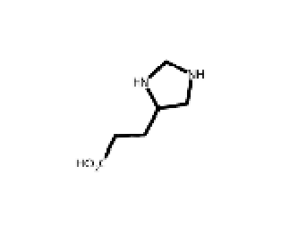 O=C(O)CCC1CNCN1